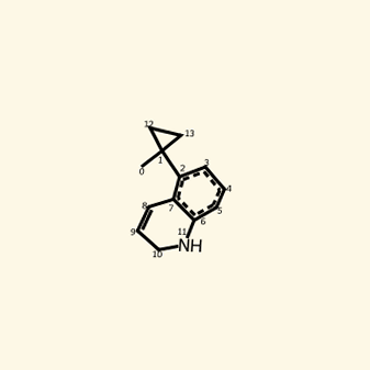 CC1(c2cccc3c2C=CCN3)CC1